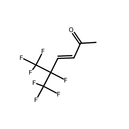 CC(=O)/C=C/C(F)(C(F)(F)F)C(F)(F)F